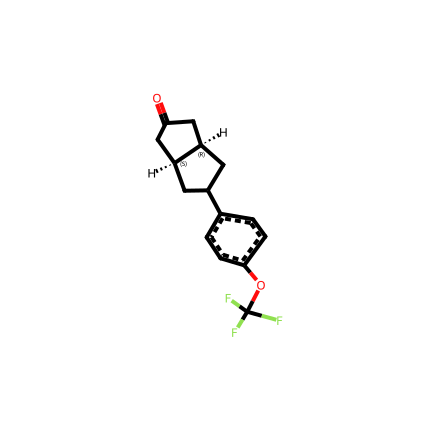 O=C1C[C@@H]2CC(c3ccc(OC(F)(F)F)cc3)C[C@@H]2C1